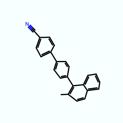 Cc1ccc2ccccc2c1-c1ccc(-c2ccc(C#N)cc2)cc1